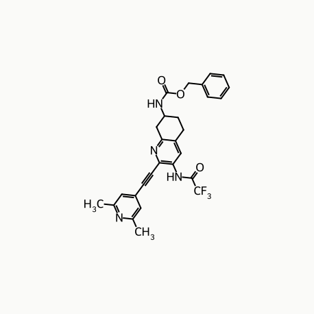 Cc1cc(C#Cc2nc3c(cc2NC(=O)C(F)(F)F)CCC(NC(=O)OCc2ccccc2)C3)cc(C)n1